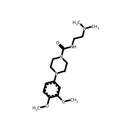 COc1ccc(N2CCN(C(=O)NCCN(C)C)CC2)cc1OC